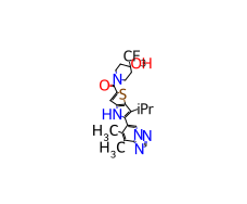 Cc1c(-c2[nH]c3cc(C(=O)N4CCC(O)(C(F)(F)F)CC4)sc3c2C(C)C)cn2ncnc2c1C